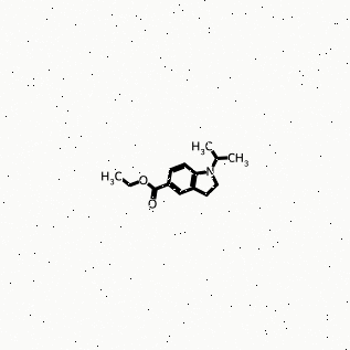 CCOC(=O)c1ccc2c(c1)CCN2C(C)C